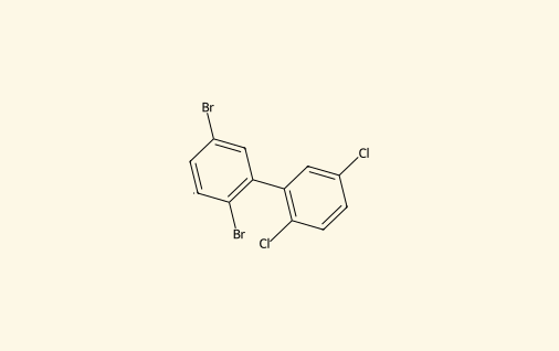 Clc1ccc(Cl)c(-c2cc(Br)c[c]c2Br)c1